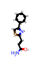 NC(=O)C=Cc1nc(-c2ccccc2)cs1